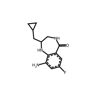 Nc1cc(F)cc2c1NC(CC1CC1)CNC2=O